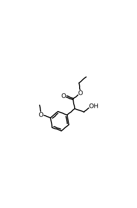 CCOC(=O)C(CO)c1cccc(OC)c1